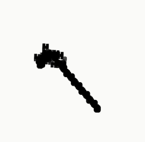 COCCOCCOCCOCCOCCOCCOCCOCCOCCOCC(=O)NCCCC[C@H](N)C(=O)N[C@@H](C)C(=O)N[C@@H](C)C(=O)NNC(=O)OC(C)(C)C